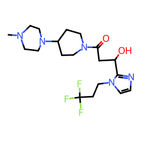 CN1CCN(C2CCN(C(=O)CC(O)c3nccn3CCC(F)(F)F)CC2)CC1